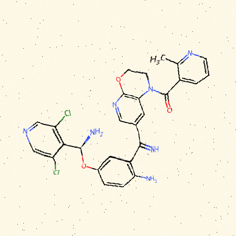 Cc1ncccc1C(=O)N1CCOc2ncc(C(=N)c3cc(O[C@H](N)c4c(Cl)cncc4Cl)ccc3N)cc21